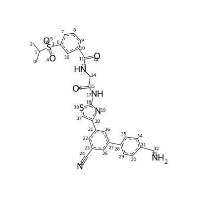 CC(C)S(=O)(=O)c1cccc(C(=O)NCC(=O)Nc2nc(-c3cc(C#N)cc(-c4ccc(CN)cc4)c3)cs2)c1